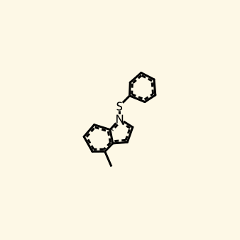 Cc1cccc2c1ccn2Sc1ccccc1